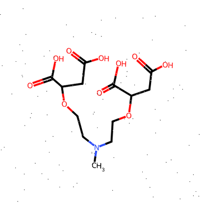 CN(CCOC(CC(=O)O)C(=O)O)CCOC(CC(=O)O)C(=O)O